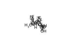 Cc1cc(N2CC(F)(F)C2)nc(NC(=O)c2ccc(NS(=O)(=O)CCO)cc2N2CCC3(CC2)CC3)n1